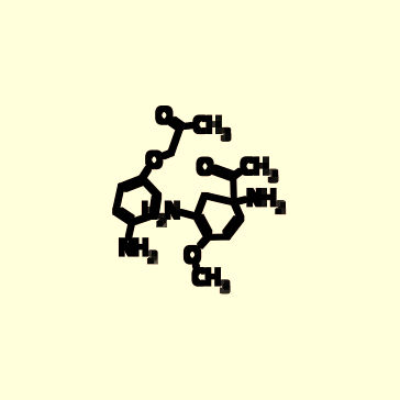 CC(=O)COc1ccc(N)cc1.COC1=C(N)CC(N)(C(C)=O)C=C1